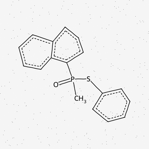 CP(=O)(Sc1ccccc1)c1cccc2ccccc12